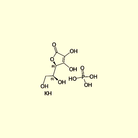 O=C1O[C@H]([C@@H](O)CO)C(O)=C1O.O=P(O)(O)O.[KH]